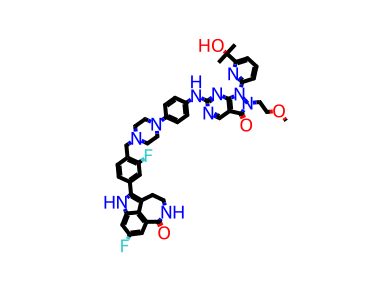 COCCn1c(=O)c2cnc(Nc3ccc(N4CCN(Cc5ccc(-c6[nH]c7cc(F)cc8c7c6CCNC8=O)cc5F)CC4)cc3)nc2n1-c1cccc(C(C)(C)O)n1